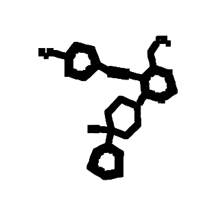 CCc1ncnc(N2CCC(O)(c3ccccc3)CC2)c1C#Cc1ccc(N)nc1